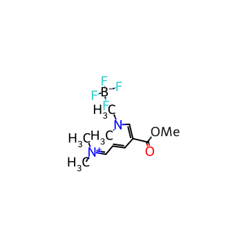 COC(=O)C(C=CC=[N+](C)C)=CN(C)C.F[B-](F)(F)F